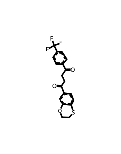 O=C(CCC(=O)c1ccc2c(c1)OCCS2)c1ccc(C(F)(F)F)cc1